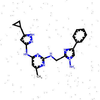 Cc1cc(Nc2cc(C3CC3)[nH]n2)nc(NCc2nc(-c3ccccc3)cn2N)n1